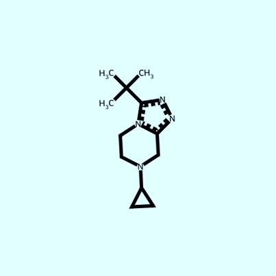 CC(C)(C)c1nnc2n1CCN(C1CC1)C2